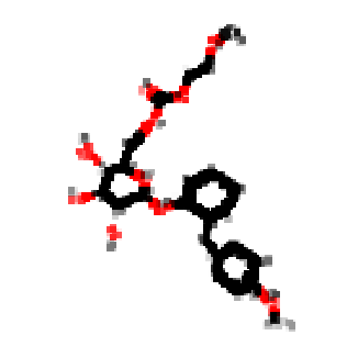 COCCOC(=O)OC[C@H]1O[C@@H](Oc2ccccc2Cc2ccc(OC)cc2)[C@H](O)[C@@H](O)[C@@H]1O